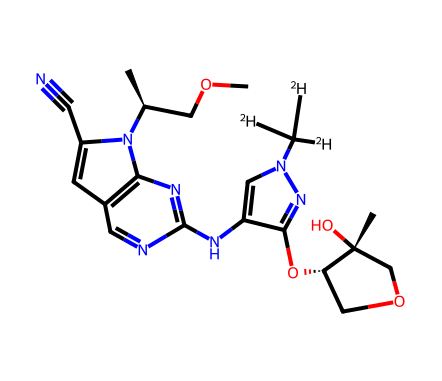 [2H]C([2H])([2H])n1cc(Nc2ncc3cc(C#N)n([C@@H](C)COC)c3n2)c(O[C@H]2COC[C@@]2(C)O)n1